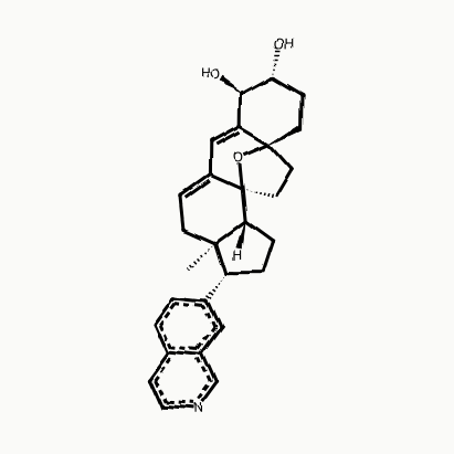 C[C@]12CC=C3C=C4[C@@H](O)[C@H](O)CC[C@]45CC[C@]3(O5)[C@@H]1CC[C@@H]2c1ccc2ccncc2c1